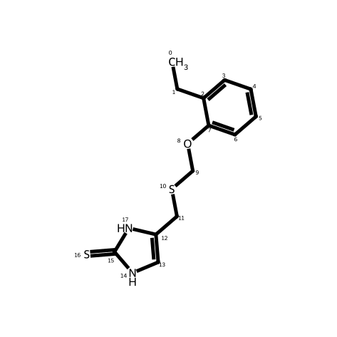 CCc1ccccc1OCSCc1c[nH]c(=S)[nH]1